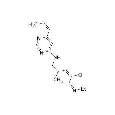 C/C=C\c1cc(NCC(C)/C=C(Cl)\C=N/CC)ncn1